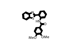 COc1ccc(C(=O)Nc2ccccc2-c2nc3ccccc3s2)cc1OC